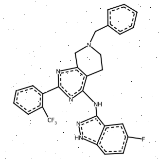 Fc1ccc2[nH]nc(Nc3nc(-c4ccccc4C(F)(F)F)nc4c3CCN(Cc3ccccc3)C4)c2c1